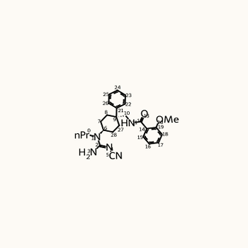 CCCN(C(N)=NC#N)[C@H]1CC[C@@](CNC(=O)c2ccccc2OC)(c2ccccc2)CC1